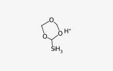 [H+].[SiH3]C1OCOCO1